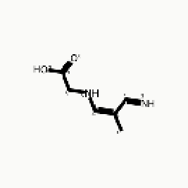 C/C(C=N)=C/NCC(=O)O